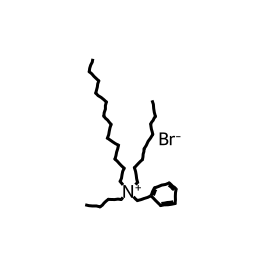 CCCCCCCCCCCC[N+](CCCC)(CCCCCCCC)Cc1ccccc1.[Br-]